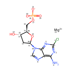 Nc1nc(Cl)nc2c1ncn2[C@H]1C[C@H](O)[C@@H](COP(=O)([O-])[O-])O1.[Mg+2]